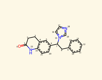 O=C1CCc2cc(C(Cc3ccccc3)n3ccnc3)ccc2N1